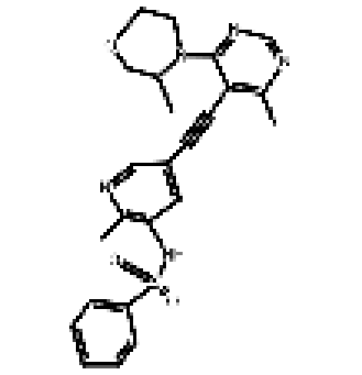 Cc1ncc(C#Cc2c(C)ncnc2N2CCOCC2C)cc1NS(=O)(=O)c1ccccc1